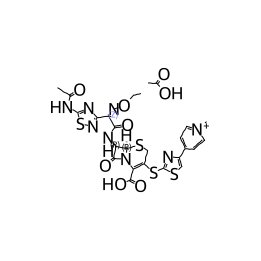 CC(=O)O.CCO/N=C(\C(=O)N[C@@H]1C(=O)N2C(C(=O)O)=C(Sc3nc(-c4cc[n+](C)cc4)cs3)CS[C@H]12)c1nsc(NC(C)=O)n1